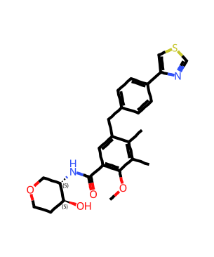 COc1c(C(=O)N[C@H]2COCC[C@@H]2O)cc(Cc2ccc(-c3cscn3)cc2)c(C)c1C